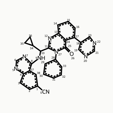 N#Cc1ccc2ncnc(NC(c3nc4cccc(-c5cncnc5)c4c(=O)n3-c3ccccc3)C3CC3)c2c1